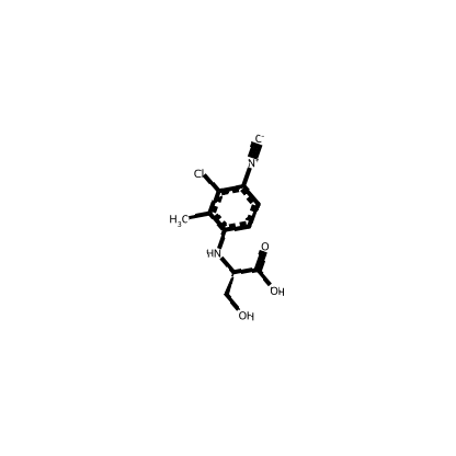 [C-]#[N+]c1ccc(N[C@H](CO)C(=O)O)c(C)c1Cl